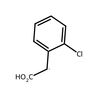 O=C(O)[CH]c1ccccc1Cl